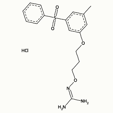 Cc1cc(OCCCON=C(N)N)cc(S(=O)(=O)c2ccccc2)c1.Cl